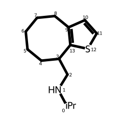 CC(C)NCC1CCCCCc2ccsc21